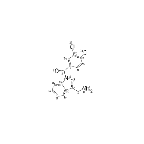 NCc1cn(C(=O)c2ccc(Cl)c(Cl)c2)c2ccccc12